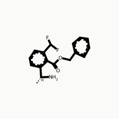 C[C@@H](N)c1cccc(C(F)F)c1C(=O)OCc1ccccc1